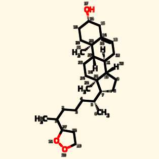 CC(CCC[C@@H](C)[C@H]1CC[C@H]2[C@@H]3CC=C4C[C@@H](O)CC[C@]4(C)[C@H]3CC[C@]12C)C1CCOO1